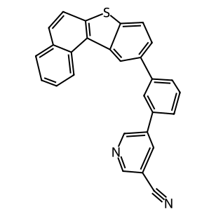 N#Cc1cncc(-c2cccc(-c3ccc4sc5ccc6ccccc6c5c4c3)c2)c1